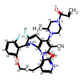 C=CC(=O)N1CCN(c2c(C#N)c(=O)n3c4nc(c(F)cc24)-c2c(F)cccc2OCCCc2ccnc(C(C)C)c2-3)C(C)C1